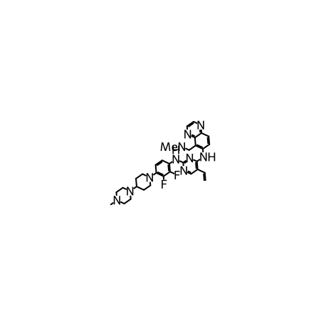 C=Cc1cnc(Nc2ccc(N3CCC(N4CCN(C)CC4)CC3)c(F)c2F)nc1Nc1ccc2nccnc2c1CNC